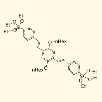 CCCCCCOc1cc(C=Cc2ccc([Si](OCC)(OCC)OCC)cc2)c(OCCCCCC)cc1C=Cc1ccc([Si](OCC)(OCC)OCC)cc1